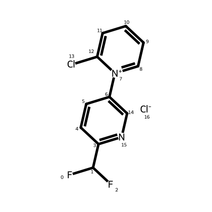 FC(F)c1ccc(-[n+]2ccccc2Cl)cn1.[Cl-]